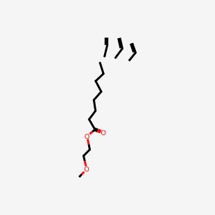 C=CC.C=CC.C=CC.CCCCCCCC(=O)OCCOC